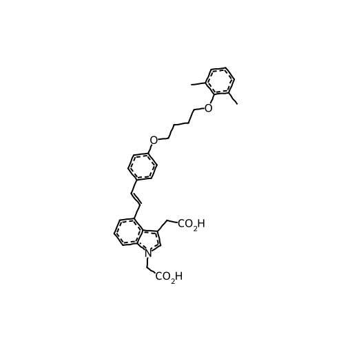 Cc1cccc(C)c1OCCCCOc1ccc(C=Cc2cccc3c2c(CC(=O)O)cn3CC(=O)O)cc1